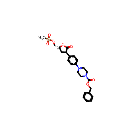 CS(=O)(=O)OC[C@H]1CC(c2ccc(N3CCN(C(=O)OCc4ccccc4)CC3)cc2)C(=O)O1